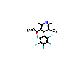 COC(=O)C1=C(C)NC(C)=C([N+](=O)[O-])C1c1c(F)c(F)c(F)c(F)c1F